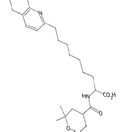 CC1(C)CC(C(=O)NC(CCCCCCCc2ccc3c(n2)NCCC3)C(=O)O)CCO1